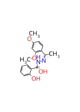 COc1ccc(/C(C)=N\N[C@H](O)c2ccccc2O)c(OC)c1